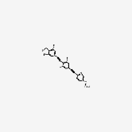 CCCCOc1ccc(C#Cc2cc(F)c(C#Cc3cc(F)c(CF)c(F)c3)c(F)c2)nc1